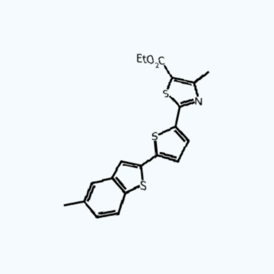 CCOC(=O)c1sc(-c2ccc(-c3cc4cc(C)ccc4s3)s2)nc1C